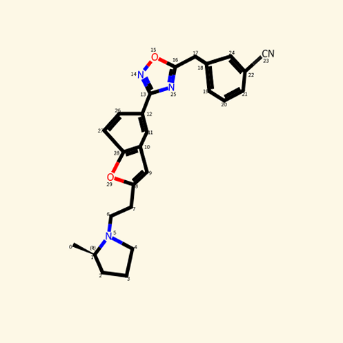 C[C@@H]1CCCN1CCc1cc2cc(-c3noc(Cc4cccc(C#N)c4)n3)ccc2o1